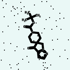 CC(C)(C)OC(=O)N1CCC2(CC1)Cn1nccc1C2=O